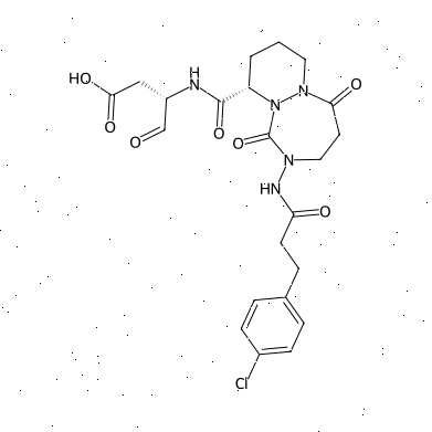 O=C[C@H](CC(=O)O)NC(=O)[C@@H]1CCCN2C(=O)CCN(NC(=O)CCc3ccc(Cl)cc3)C(=O)N12